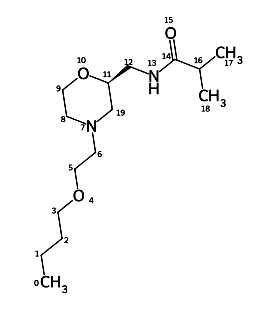 CCCCOCCN1CCO[C@@H](CNC(=O)C(C)C)C1